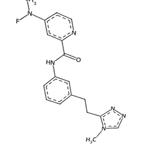 CN(F)c1ccnc(C(=O)Nc2cccc(CCc3nncn3C)c2)c1